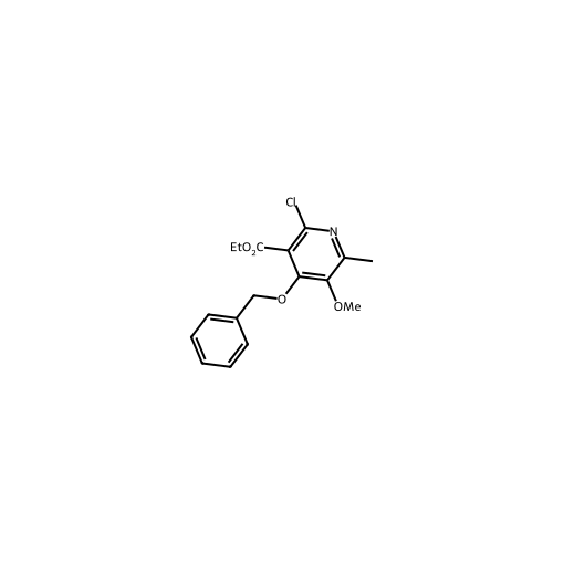 CCOC(=O)c1c(Cl)nc(C)c(OC)c1OCc1ccccc1